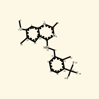 COc1cc2nc(C)nc(NCc3cccc(C(F)(F)F)c3C)c2cc1C